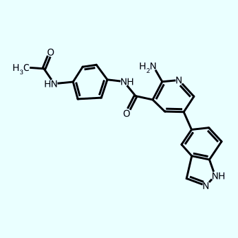 CC(=O)Nc1ccc(NC(=O)c2cc(-c3ccc4[nH]ncc4c3)cnc2N)cc1